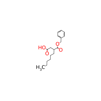 CCCCCCC(CC(=O)O)C(=O)OCc1ccccc1